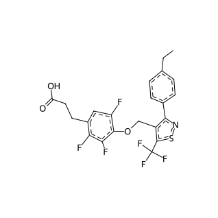 CCc1ccc(-c2nsc(C(F)(F)F)c2COc2c(F)cc(CCC(=O)O)c(F)c2F)cc1